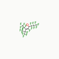 O=C(C(F)=C(C(F)(F)C(F)(F)F)C(F)(C(F)(F)F)C(F)(F)F)C(F)(F)C(F)(F)C(F)(F)F